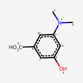 CN(C)c1cc(O)cc(C(=O)O)c1